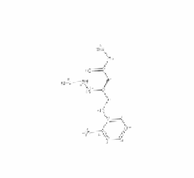 CC(C)(C)OC(=O)C[C@@H](COc1ccccc1N)NBC=O